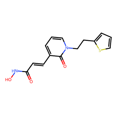 O=C(/C=C/c1cccn(CCc2cccs2)c1=O)NO